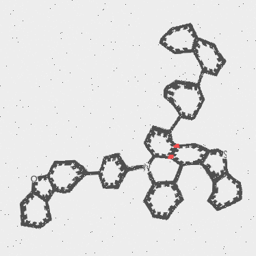 c1ccc(N(c2ccc(-c3ccc(-c4cccc5ccccc45)cc3)cc2)c2ccc(-c3ccc4oc5ccccc5c4c3)cc2)c(-c2cccc3sc4ccccc4c23)c1